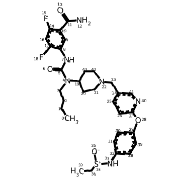 CCCCN(C(=O)Nc1cc(C(N)=O)c(F)cc1F)C1CCN(Cc2ccc(Oc3ccc(N[S+]([O-])CC)cc3)nc2)CC1